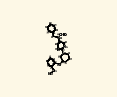 CCOc1ccccc1OC1CCCN(c2ncc(N(C=O)Cc3ccccc3)cn2)C1